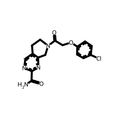 NC(=O)c1n[c]c2c(n1)CN(C(=O)COc1ccc(Cl)cc1)CC2